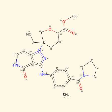 Cc1cc(Nc2nn(C3(CC#N)CCC(C(=O)OC(C)(C)C)OC3)c3cc[nH]c(=O)c23)ccc1C(=O)N1CCCC1